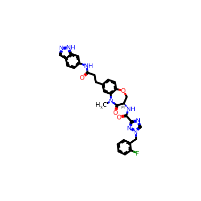 CN1C(=O)[C@H](NC(=O)c2ncn(Cc3ccccc3F)n2)COc2ccc(CCC(=O)Nc3ccc4cn[nH]c4c3)cc21